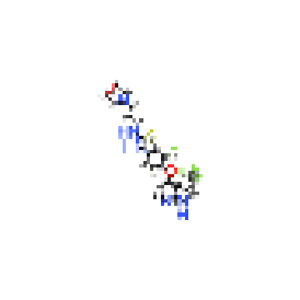 Fc1cc(NC(=S)NCCCN2CCOCC2)cc(F)c1Oc1ccnc2[nH]cc(C(F)(F)F)c12